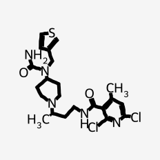 Cc1cc(Cl)nc(Cl)c1C(=O)NCC[C@@H](C)N1CCC(N(Cc2ccsc2)C(N)=O)CC1